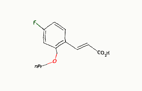 CCCOc1cc(F)ccc1C=CC(=O)O